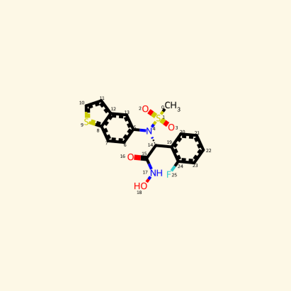 CS(=O)(=O)N(c1ccc2sccc2c1)[C@@H](C(=O)NO)c1ccccc1F